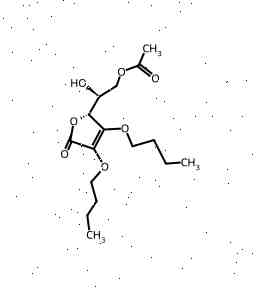 CCCCOC1=C(OCCCC)[C@@H]([C@@H](O)COC(C)=O)OC1=O